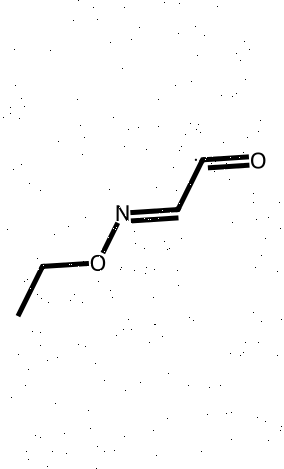 CCON=C[C]=O